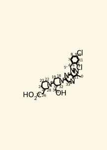 Cc1nn([C@H](C)c2ccc(Cl)cc2Cl)c2nc(N3CCC(N4CCCC(CC(=O)O)C4)[C@H](CO)C3)cnc12